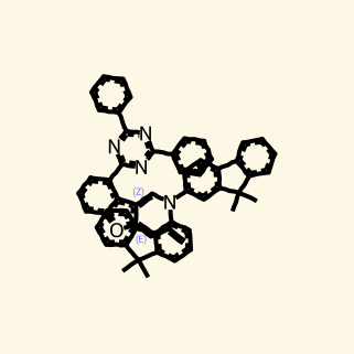 C=C/C=c1/oc2cccc(-c3nc(-c4ccccc4)nc(-c4ccccc4)n3)c2/c1=C/N(c1ccc2c(c1)C(C)(C)c1ccccc1-2)c1cccc2c1-c1ccccc1C2(C)C